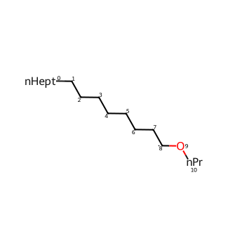 CCCCCCCCCCCCCC[CH]OCCC